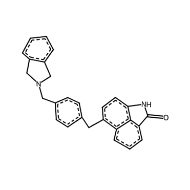 O=C1Nc2ccc(Cc3ccc(CN4Cc5ccccc5C4)cc3)c3cccc1c23